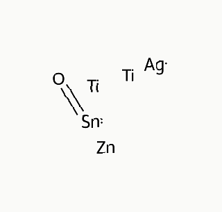 [Ag].[O]=[Sn].[Ti].[Ti].[Zn]